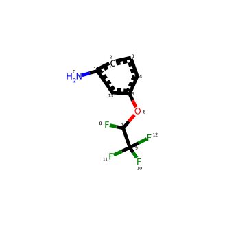 Nc1cccc(OC(F)C(F)(F)F)c1